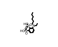 CCCCCCN(CC)c1cccc(S(=O)(=O)O)c1S(=O)(=O)O